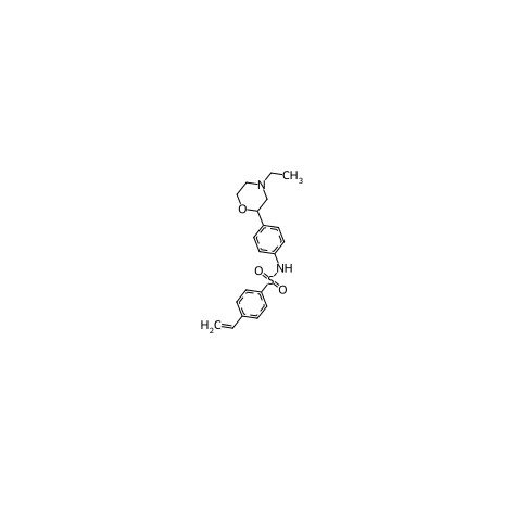 C=Cc1ccc(S(=O)(=O)Nc2ccc(C3CN(CC)CCO3)cc2)cc1